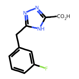 O=C(O)c1nnc(Cc2cccc(F)c2)[nH]1